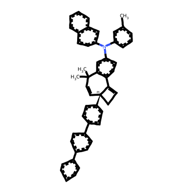 Cc1cccc(N(c2ccc3c(c2)C(C)(C)C=C[C@@]2(c4ccc(-c5ccc(-c6ccccc6)cc5)cc4)CC=C32)c2ccc3ccccc3c2)c1